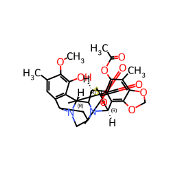 COc1c(C)cc2c(c1O)[C@@H]1C3[C@@H]4SCC(=O)C(=O)OC[C@@H](c5c6c(c(C)c(OC(C)=O)c54)OCO6)N3C3CC2N1C3